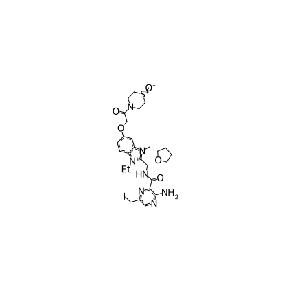 CC[n+]1c(CNC(=O)c2nc(CI)cnc2N)n(C[C@@H]2CCCO2)c2cc(OCC(=O)N3CC[S+]([O-])CC3)ccc21